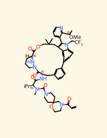 C=CC(=O)N1CCOC2(CCN(C(=O)N(C)[C@H](C(=O)N[C@H]3Cc4cccc(c4)-c4ccc5c(c4)c(c(-c4cccnc4[C@H](C)OC)n5CC(F)(F)F)CC(C)(C)COC(=O)[C@@H]4CCCN(N4)C3=O)C(C)C)CC2)C1